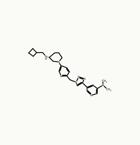 CN(C)c1cncc(-c2cn(Cc3ccc(N4CCC[C@@H](NCC5CCC5)C4)cn3)nn2)c1